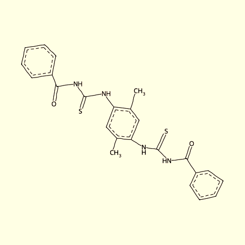 Cc1cc(NC(=S)NC(=O)c2ccccc2)c(C)cc1NC(=S)NC(=O)c1ccccc1